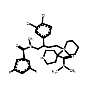 CN(C)C(=O)C1([N+]2(CCC(CN(C)C(=O)c3cc(F)cc(F)c3)c3ccc(Cl)c(Cl)c3)CCCCC2)CCNCC1